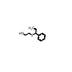 C=CC(SCCO)c1ccccc1